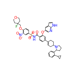 O=C(NS(=O)(=O)c1ccc(OCC2(F)CCOCC2)c([N+](=O)[O-])c1)c1ccc(C2=CCC(N3CCCC3c3ccccc3C3CC3)CC2)cc1Oc1cnc2[nH]ccc2c1